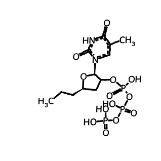 CCC[C@@H]1CC(OP(=O)(O)OP(=O)(O)OP(=O)(O)O)[C@H](n2cc(C)c(=O)[nH]c2=O)O1